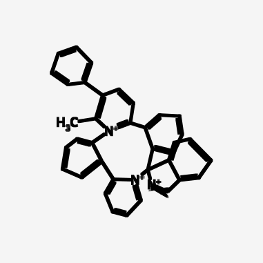 Cc1c(-c2ccccc2)ccc2[n+]1-c1ccccc1-c1cccc[n+]1C1(c3ccccc3-c3cccc[n+]31)c1ccccc1-2